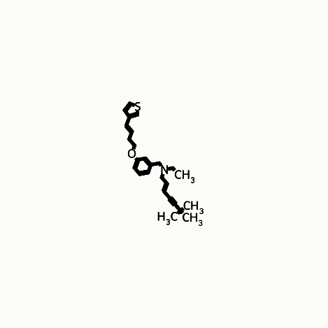 CCN(C/C=C/C#CC(C)(C)C)Cc1cccc(OCC/C=C/c2ccsc2)c1